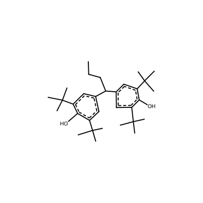 CCCC(c1cc(C(C)(C)C)c(O)c(C(C)(C)C)c1)c1cc(C(C)(C)C)c(O)c(C(C)(C)C)c1